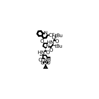 C=CC[C@@](C)(NC(=O)[C@@H]1C[C@@H](Oc2cc(C(F)(F)F)nc3ccccc23)CN1C(=O)[C@@H](NC(=O)OC(C)(C)C)C(C)(C)C)C(=O)NS(=O)(=O)C1CC1